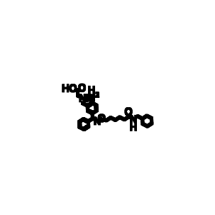 Nc1ccc(/C(=N\OCCCCCC(=O)NCC2CCCCC2)c2ccccc2)cc1CNCC(=O)O